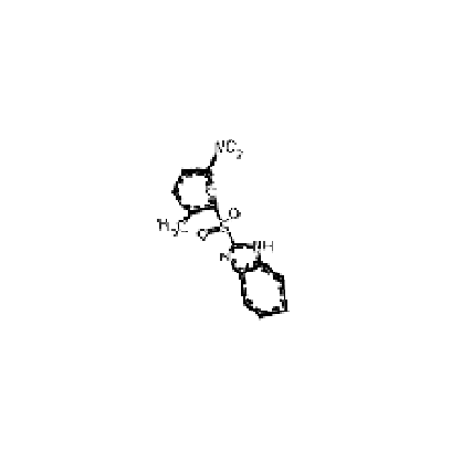 Cc1ccc([N+](=O)[O-])cc1S(=O)(=O)c1nc2ccccc2[nH]1